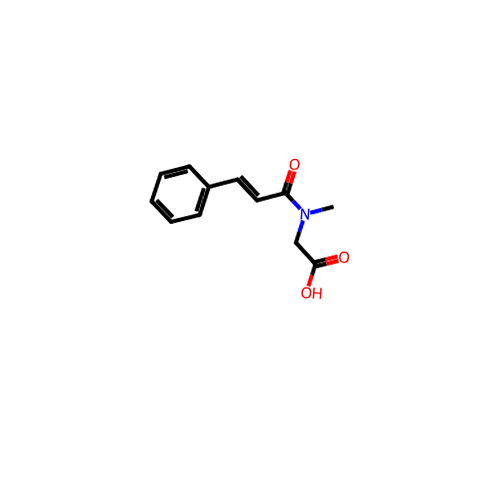 CN(CC(=O)O)C(=O)C=Cc1ccccc1